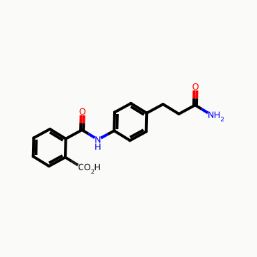 NC(=O)CCc1ccc(NC(=O)c2ccccc2C(=O)O)cc1